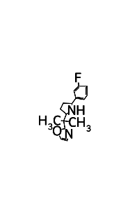 CC(C)(c1ncco1)C1CCC(c2cccc(F)c2)N1